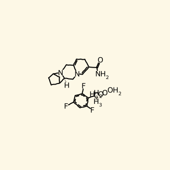 Cc1c(F)cc(F)cc1F.NC(=O)C1=CN2C[C@H]3C4CCC(C4)N3CC2=CC1.O.O.O